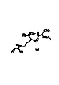 CC(N)C(=O)NC(CCCNC(=N)N)C(=O)O.[Mn]